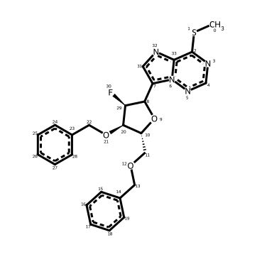 CSc1ncnn2c(C3O[C@H](COCc4ccccc4)[C@@H](OCc4ccccc4)[C@H]3F)cnc12